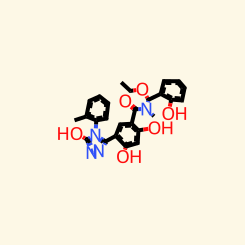 CCOC(c1ccccc1O)N(C)C(=O)c1cc(-c2nnc(O)n2-c2ccccc2C)c(O)cc1O